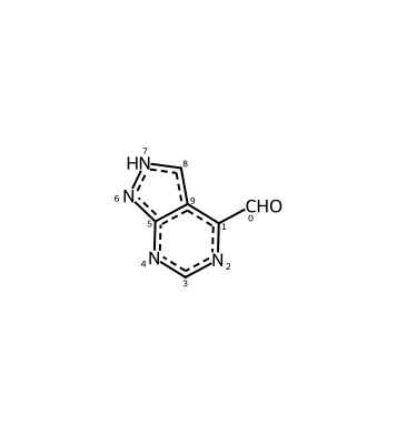 O=Cc1ncnc2n[nH]cc12